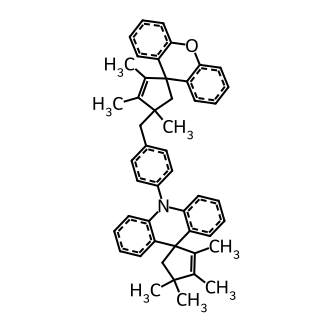 CC1=C(C)C2(CC1(C)C)c1ccccc1N(c1ccc(CC3(C)CC4(C(C)=C3C)c3ccccc3Oc3ccccc34)cc1)c1ccccc12